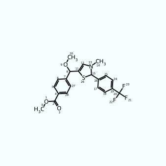 COC(=O)c1ccc(C(OC)C2=CN(C)C(c3ccc(C(F)(F)F)cc3)S2)cc1